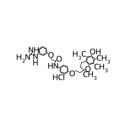 Cc1c(C)c2c(c(C)c1O)CCC(C)(CCOc1ccc(NC(=O)COc3cccc(NC(=N)N)c3)cc1)O2.Cl